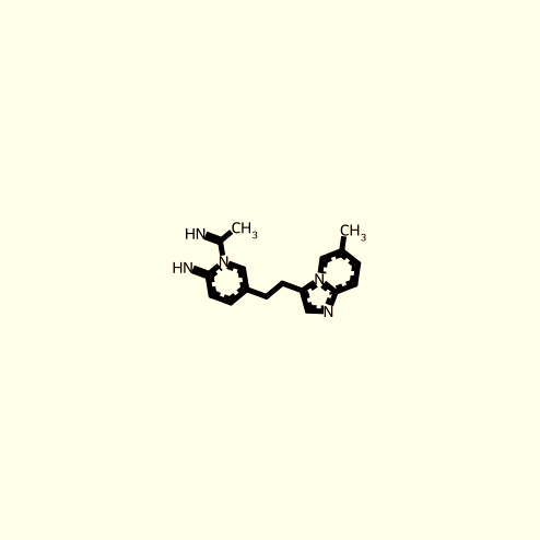 CC(=N)n1cc(CCc2cnc3ccc(C)cn23)ccc1=N